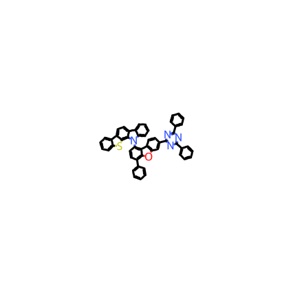 c1ccc(-c2nc(-c3ccccc3)nc(-c3ccc4c(c3)oc3c(-c5ccccc5)ccc(-n5c6ccccc6c6ccc7c8ccccc8sc7c65)c34)n2)cc1